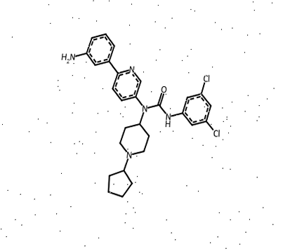 Nc1cccc(-c2ccc(N(C(=O)Nc3cc(Cl)cc(Cl)c3)C3CCN(C4CCCC4)CC3)cn2)c1